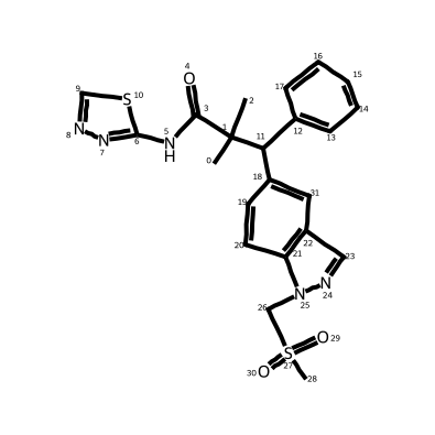 CC(C)(C(=O)Nc1nncs1)C(c1ccccc1)c1ccc2c(cnn2CS(C)(=O)=O)c1